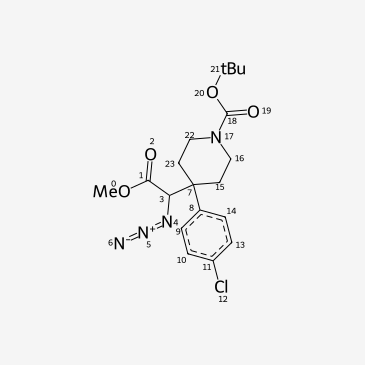 COC(=O)C(N=[N+]=[N-])C1(c2ccc(Cl)cc2)CCN(C(=O)OC(C)(C)C)CC1